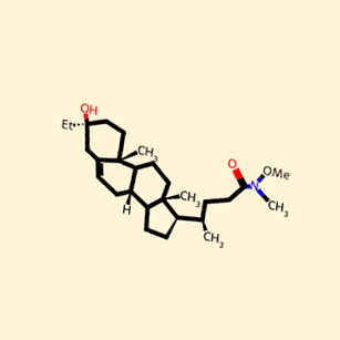 CC[C@]1(O)CC[C@@]2(C)C(=CC[C@@H]3C2CC[C@@]2(C)C3CC[C@@H]2[C@H](C)CCC(=O)N(C)OC)C1